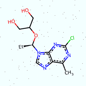 CC[C@@H](OC(CO)CO)n1cnc2c(C)nc(Cl)nc21